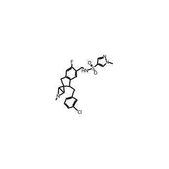 CN1C2C1C21Cc2cc(F)c(CNS(=O)(=O)c3cnn(C)c3)cc2C1Cc1cccc(Cl)c1